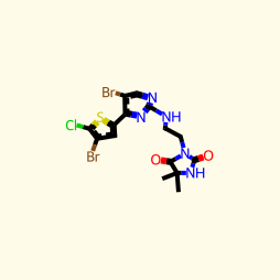 CC1(C)NC(=O)N(CCNc2ncc(Br)c(-c3cc(Br)c(Cl)s3)n2)C1=O